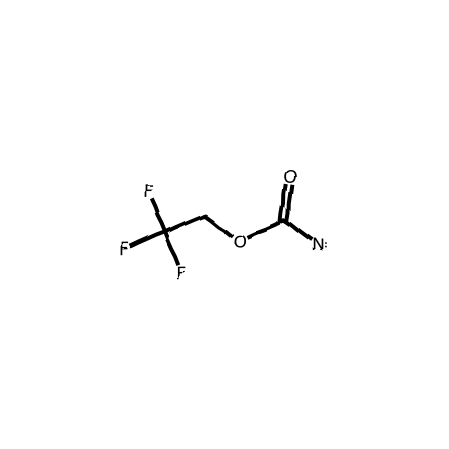 [N]C(=O)OCC(F)(F)F